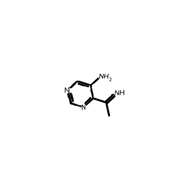 CC(=N)c1ncncc1N